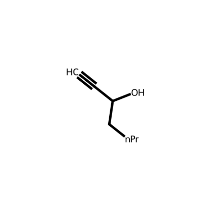 C#CC(O)CCCC